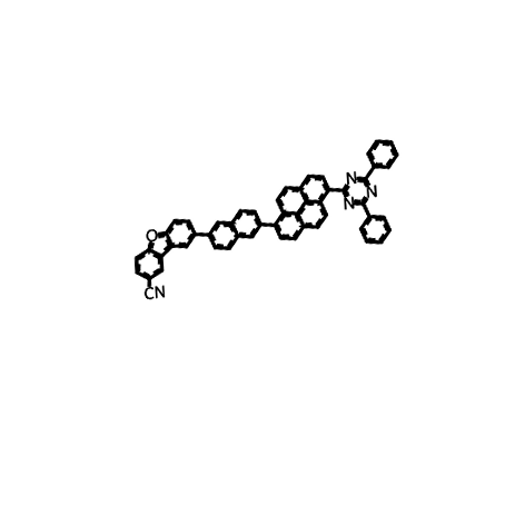 N#Cc1ccc2oc3ccc(-c4ccc5cc(-c6ccc7ccc8c(-c9nc(-c%10ccccc%10)nc(-c%10ccccc%10)n9)ccc9ccc6c7c98)ccc5c4)cc3c2c1